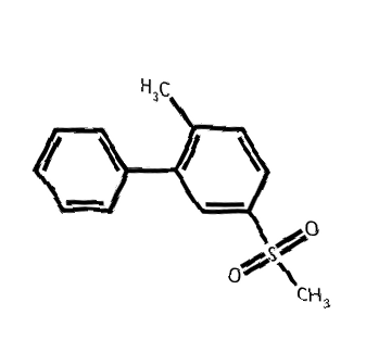 Cc1ccc(S(C)(=O)=O)cc1-c1ccccc1